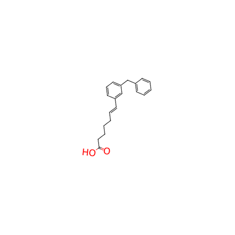 O=C(O)CCCCC=Cc1cccc(Cc2ccccc2)c1